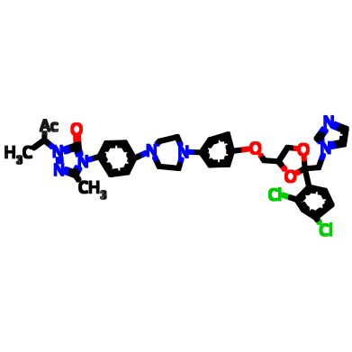 CC(=O)C(C)n1nc(C)n(-c2ccc(N3CCN(c4ccc(OCC5COC(Cn6ccnc6)(c6ccc(Cl)cc6Cl)O5)cc4)CC3)cc2)c1=O